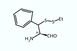 CCSSC(c1ccccc1)[C@H](N)[C]=O